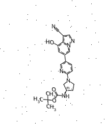 CC(C)(C)OC(=O)N[C@@H]1CCN(c2ccc(-c3cc(O)c4c(C#N)cnn4c3)cn2)C1